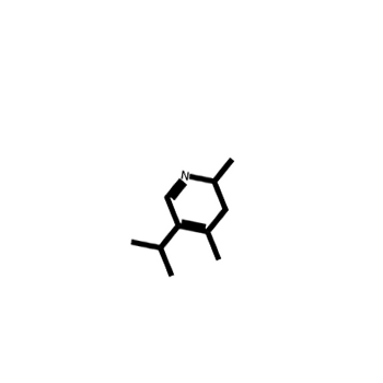 CC1=C(C(C)C)C=NC(C)C1